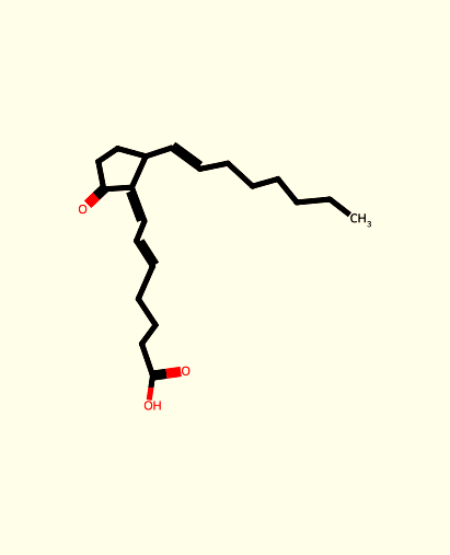 CCCCCCC=CC1CCC(=O)C1=CC=CCCCC(=O)O